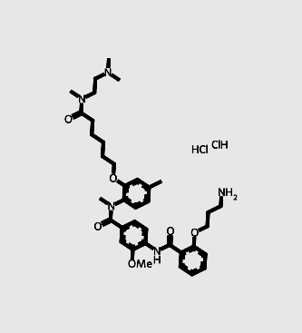 COc1cc(C(=O)N(C)c2ccc(C)cc2OCCCCCC(=O)N(C)CCN(C)C)ccc1NC(=O)c1ccccc1OCCCN.Cl.Cl